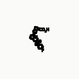 O=C(O)N1CCC2CN(c3cccc4cc(S(=O)(=O)c5ccc(F)cc5)cnc34)CC21